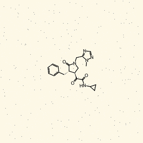 Cn1ncnc1CN1C[C@@H](C(=O)C(=O)NC2CC2)[C@H](Cc2ccccc2)C1=O